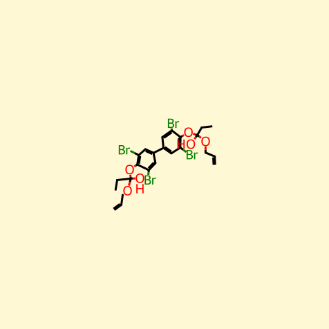 C=CCOC(O)(CC)Oc1c(Br)cc(-c2cc(Br)c(OC(O)(CC)OCC=C)c(Br)c2)cc1Br